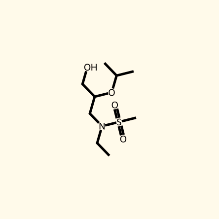 CCN(CC(CO)OC(C)C)S(C)(=O)=O